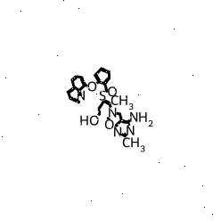 CC(=C(CCO)SC(=O)c1ccccc1Oc1cccc2cccnc12)N(C=O)Cc1cnc(C)nc1N